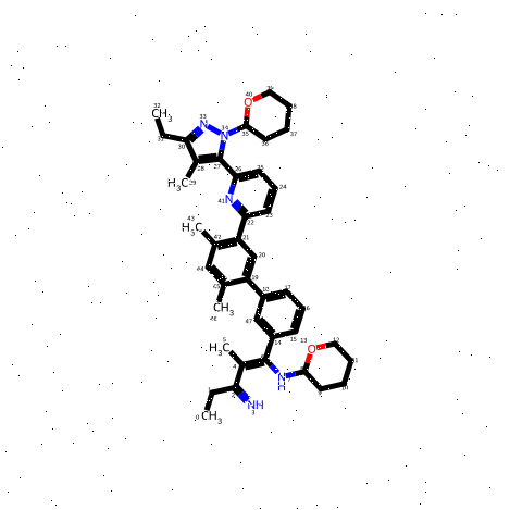 CCC(=N)/C(C)=C(\NC1CCCCO1)c1cccc(-c2cc(-c3cccc(-c4c(C)c(CC)nn4C4CCCCO4)n3)c(C)cc2C)c1